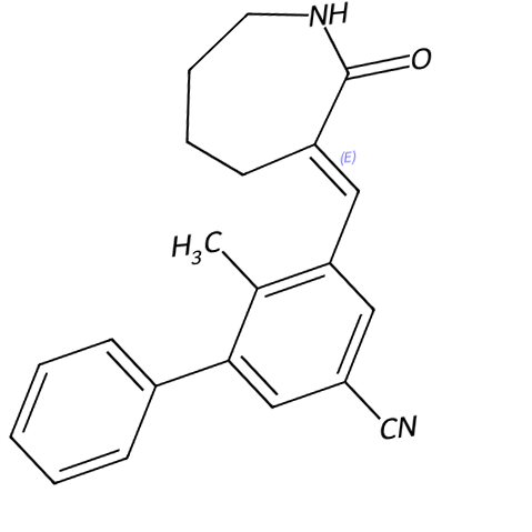 Cc1c(/C=C2\CCCCNC2=O)cc(C#N)cc1-c1ccccc1